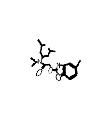 Cc1ccc2oc(OCC(=O)N(C(=CC(C)C)CC(C)C)C(C)C)nc2c1